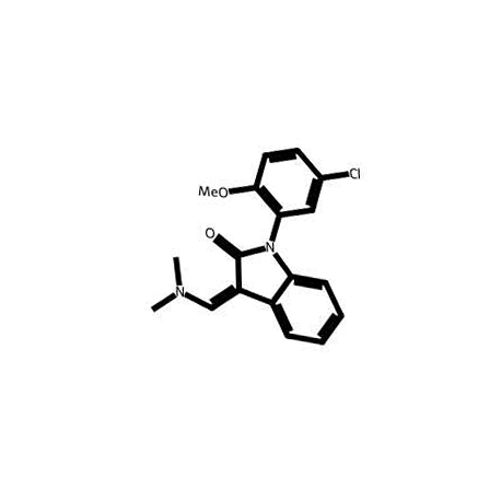 COc1ccc(Cl)cc1N1C(=O)C(=CN(C)C)c2ccccc21